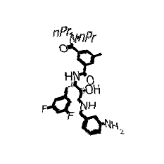 CCCN(CCC)C(=O)c1cc(C)cc(C(=O)N[C@@H](Cc2cc(F)cc(F)c2)[C@H](O)CNCc2cccc(N)c2)c1